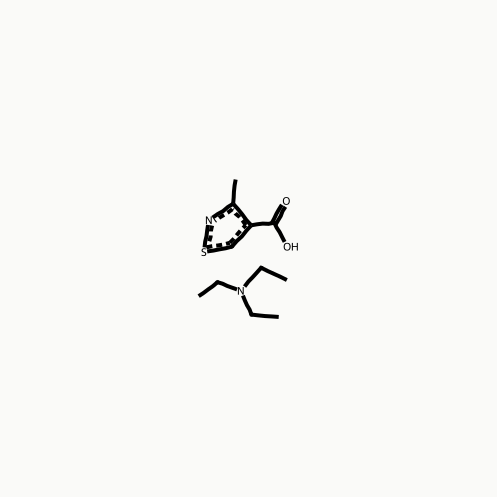 CCN(CC)CC.Cc1nscc1C(=O)O